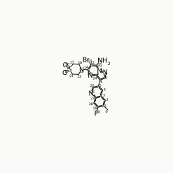 Cc1cc2cc(-c3cnn4c(N)c(Br)c(N5CCS(=O)(=O)CC5)nc34)cnc2cc1F